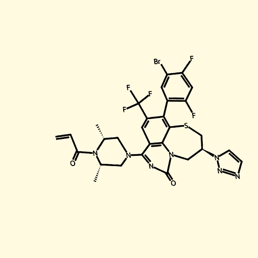 C=CC(=O)N1[C@H](C)CN(c2nc(=O)n3c4c(c(-c5cc(Br)c(F)cc5F)c(C(F)(F)F)cc24)SC[C@@H](n2ccnn2)C3)C[C@@H]1C